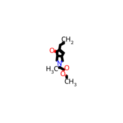 C=CCC1=CC2CN(C(C)C(=O)OCC)CC2C1=O